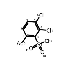 CC(=O)c1ccc(Cl)c(Cl)c1S(=O)(=O)Cl